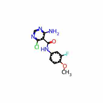 COc1ccc(NC(=O)c2c(N)ncnc2Cl)cc1F